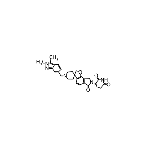 Cc1c2ccc(CN3CCC4(CC3)COc3c4ccc4c3CN([C@H]3CCC(=O)NC3=O)C4=O)cc2nn1C